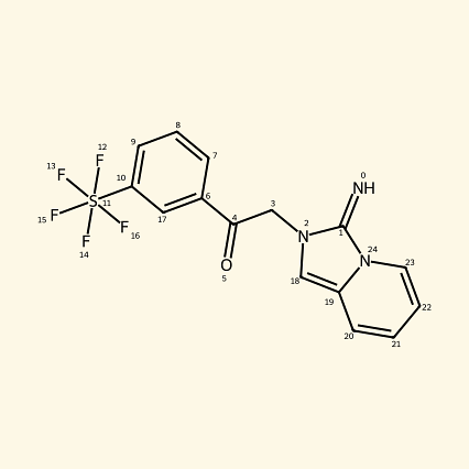 N=c1n(CC(=O)c2cccc(S(F)(F)(F)(F)F)c2)cc2ccccn12